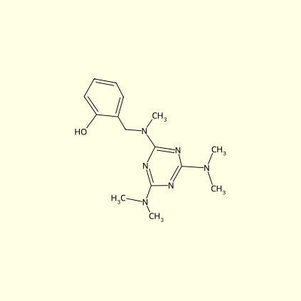 CN(C)c1nc(N(C)C)nc(N(C)Cc2ccccc2O)n1